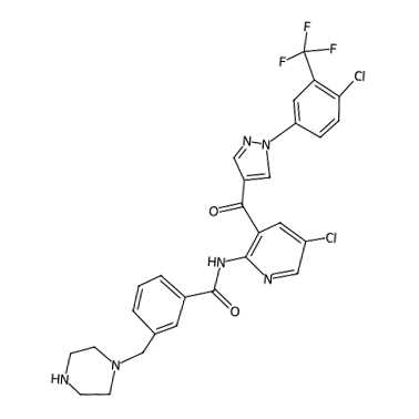 O=C(Nc1ncc(Cl)cc1C(=O)c1cnn(-c2ccc(Cl)c(C(F)(F)F)c2)c1)c1cccc(CN2CCNCC2)c1